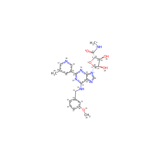 CNC(=O)[C@H]1O[C@@H](n2cnc3c(NCc4cccc(OC)c4)nc(-c4cncc(C)c4)nc32)[C@H](O)[C@@H]1O